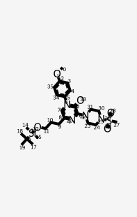 COc1ccc(-n2cc(CCCO[Si](C)(C)C(C)(C)C)nc(N3CCN(S(C)(=O)=O)CC3)c2=O)cc1